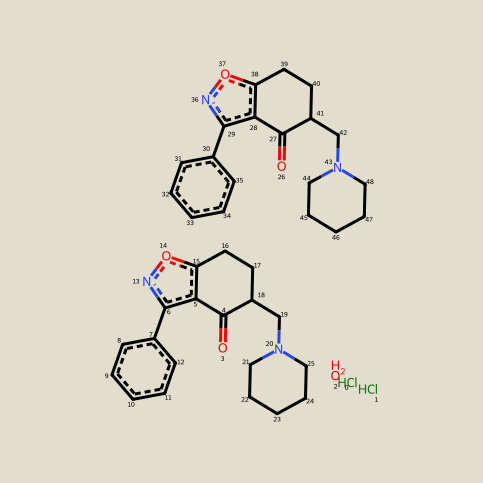 Cl.Cl.O.O=C1c2c(-c3ccccc3)noc2CCC1CN1CCCCC1.O=C1c2c(-c3ccccc3)noc2CCC1CN1CCCCC1